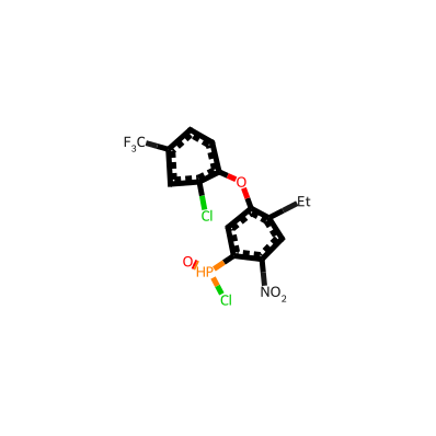 CCc1cc([N+](=O)[O-])c([PH](=O)Cl)cc1Oc1ccc(C(F)(F)F)cc1Cl